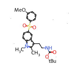 COc1cccc(S(=O)(=O)c2ccc3c(c2)c(CCNC(=O)OC(C)(C)C)c(C)n3C)c1